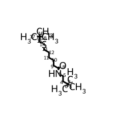 CC(C)(C)CCNC(=O)CCCCCSCC(C)(C)C